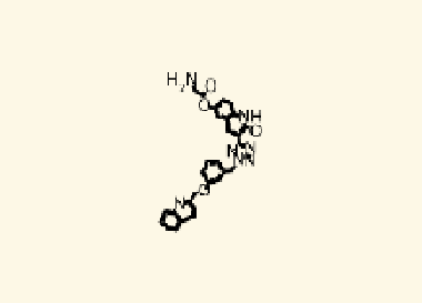 NCC(=O)Oc1ccc2[nH]c(=O)c(-c3nnn(Cc4cccc(OCc5ccc6ccccc6n5)c4)n3)cc2c1